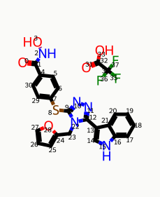 O=C(NO)c1ccc(Sc2nnc(-c3c[nH]c4ccccc34)n2Cc2ccco2)cc1.O=C(O)C(F)(F)F